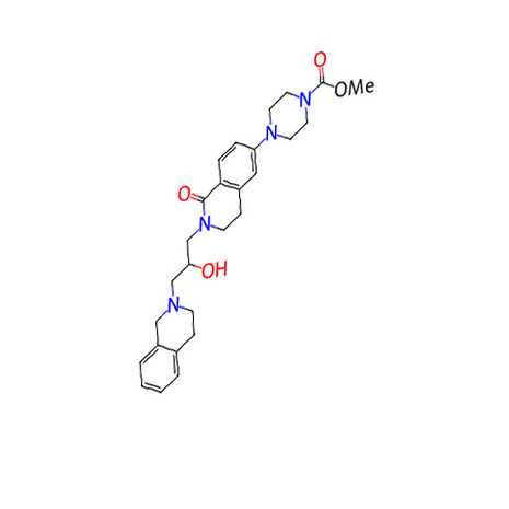 COC(=O)N1CCN(c2ccc3c(c2)CCN(CC(O)CN2CCc4ccccc4C2)C3=O)CC1